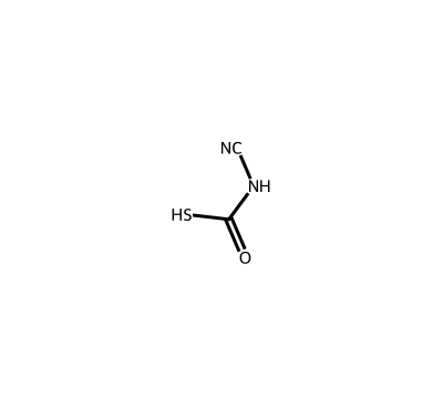 N#CNC(=O)S